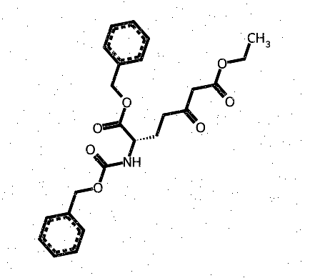 CCOC(=O)CC(=O)CC[C@H](NC(=O)OCc1ccccc1)C(=O)OCc1ccccc1